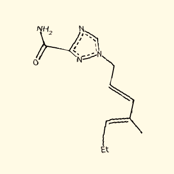 CCC=C(C)C=CCn1cnc(C(N)=O)n1